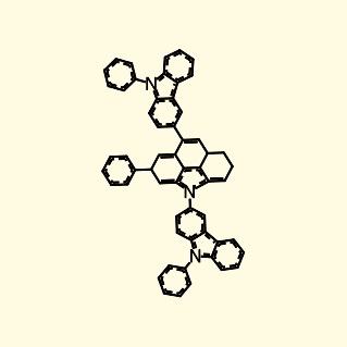 C1=C(c2ccc3c(c2)c2ccccc2n3-c2ccccc2)C2=CC(c3ccccc3)C=c3c2c2c(n3-c3ccc4c(c3)c3ccccc3n4-c3ccccc3)=CCCC12